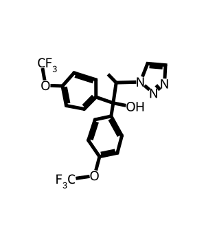 CC(n1ccnn1)C(O)(c1ccc(OC(F)(F)F)cc1)c1ccc(OC(F)(F)F)cc1